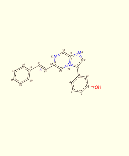 Oc1cccc(-c2cnc3cnc(/C=C/c4ccccc4)cn23)c1